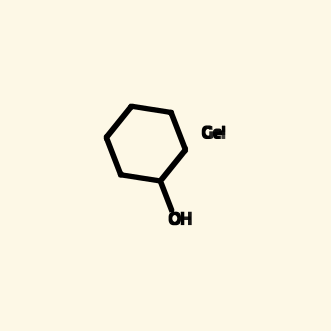 OC1CCCCC1.[Ge]